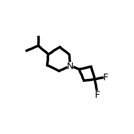 CC(C)C1CCN(C2CC(F)(F)C2)CC1